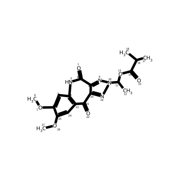 COc1cc2[nH]c(=O)c3nn(C(C)OC(=O)C(C)C)nc3c(=O)c2cc1OC